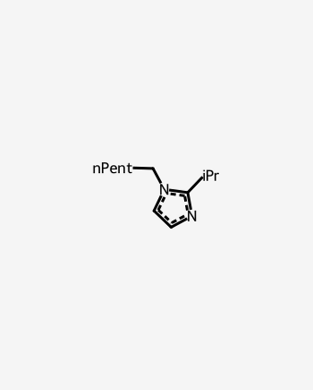 CCCCCCn1ccnc1C(C)C